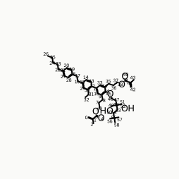 C=C(C)C(=O)OCCCc1cc(-c2ccc(CCc3ccc(CCCCC)cc3)cc2CC)cc(CCCOC(=O)C(=C)C)c1OCCC(CO)(CO)CCC(C)(C)C